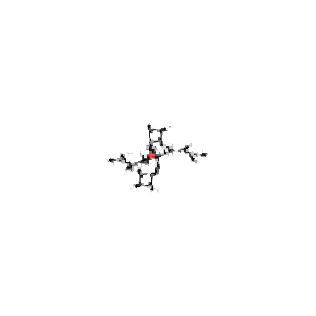 CN(CC(=O)NCC(CNC(=O)CN(C)C(=O)CNCCN(CCN(CCNCC(=O)O)CC(=O)O)CC(=O)O)(CNC(=O)CN(C)C(=O)CN1CCN(CC(=O)O)CCN(CC(=O)O)CCN(CC(=O)O)CC1)CNC(=O)CN(C)C(=O)CN1CCN(CC(=O)O)CCN(CC(=O)O)CCN(CC(=O)O)CC1)C(=O)CNCCN(CCN(CCNCC(=O)O)CC(=O)O)CC(=O)O